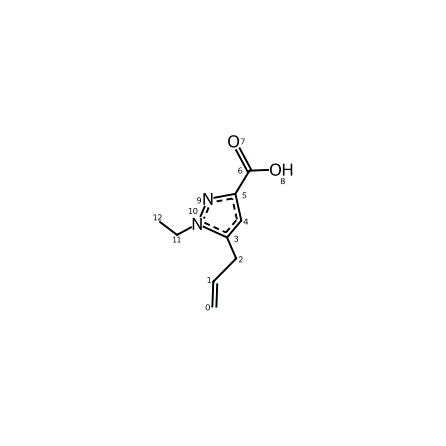 C=CCc1cc(C(=O)O)nn1CC